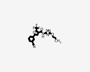 CCCOc1nsc(NC(=O)c2cc(-c3cccc(C#N)c3)oc2C(F)(F)F)n1